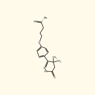 CC[C@@H](C)C(=N)CCCOc1ccc(C2=NNC(=O)CC2(C)C)cc1